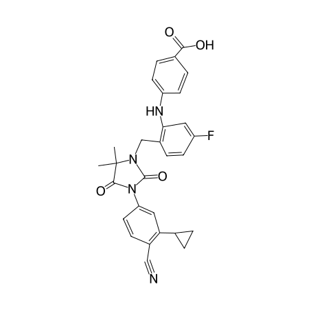 CC1(C)C(=O)N(c2ccc(C#N)c(C3CC3)c2)C(=O)N1Cc1ccc(F)cc1Nc1ccc(C(=O)O)cc1